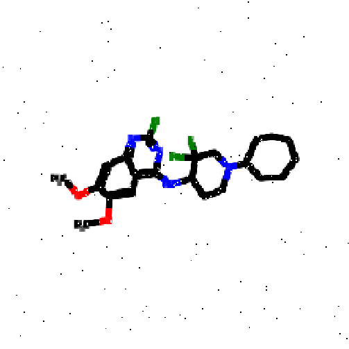 COc1cc2nc(Cl)nc(NC3CCN(C4CCCCCC4)CC3(F)F)c2cc1OC